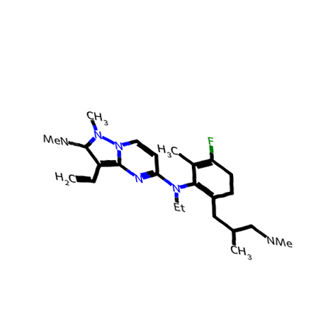 C=CC1=C2N=C(N(CC)C3=C(CC(C)CNC)CCC(F)=C3C)C=CN2N(C)C1NC